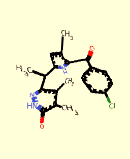 Cc1cc(C(C)c2n[nH]c(=O)c(C)c2C)[nH]c1C(=O)c1ccc(Cl)cc1